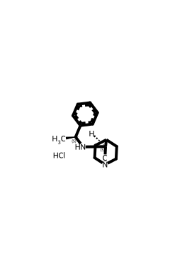 C[C@H](N[C@@H]1CN2CCC1CC2)c1ccccc1.Cl